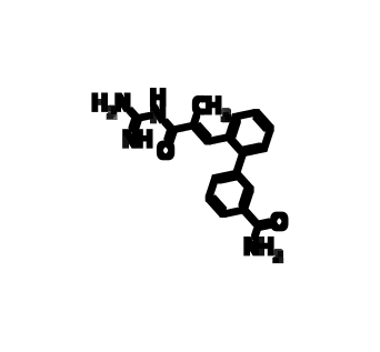 C/C(=C\c1ccccc1-c1cccc(C(N)=O)c1)C(=O)NC(=N)N